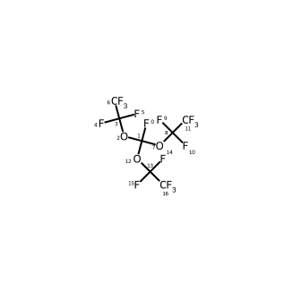 FC(OC(F)(F)C(F)(F)F)(OC(F)(F)C(F)(F)F)OC(F)(F)C(F)(F)F